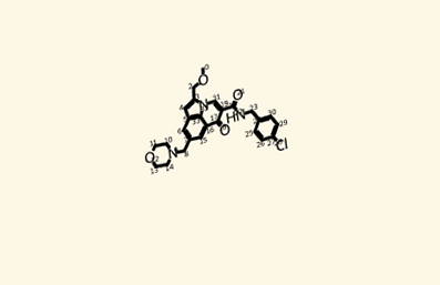 COCc1cc2cc(CN3CCOCC3)cc3c(=O)c(C(=O)NCc4ccc(Cl)cc4)cn1c23